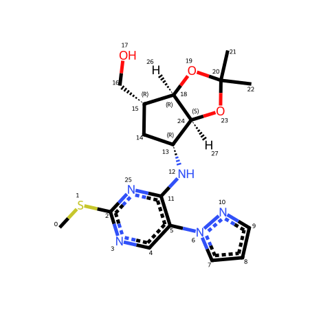 CSc1ncc(-n2cccn2)c(N[C@@H]2C[C@H](CO)[C@H]3OC(C)(C)O[C@H]32)n1